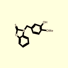 COc1ccc(Cn2c(=S)oc3ccccc32)cc1O